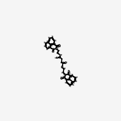 O=C(CCC(=O)OCCN1C(=O)c2cccc3cccc(c23)C1=O)OCCN1C(=O)c2cccc3cccc(c23)C1=O